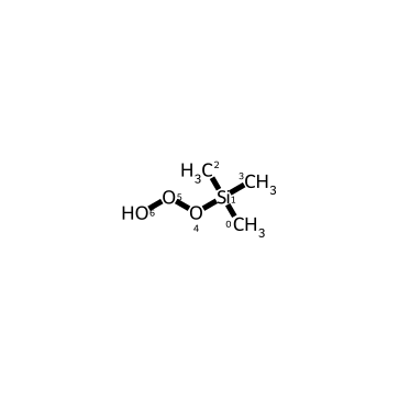 C[Si](C)(C)OOO